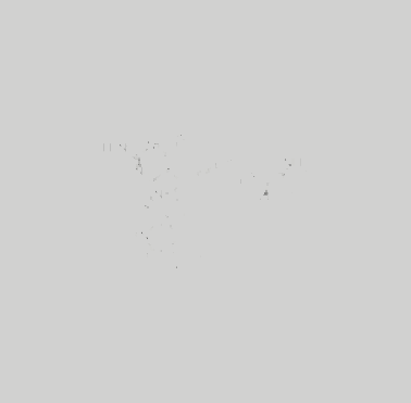 COc1c(C)cnc(Cn2cc(C#CCCOC(=O)C(C)N)c3c(Cl)nc(N)nc32)c1C